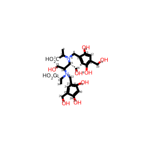 CC(C(=O)O)N(Cc1cc(O)c(CO)cc1O)[C@H](CO)C(CO)N(Cc1cc(CO)c(O)cc1O)[C@H](C)C(=O)O